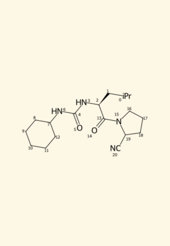 CC(C)C[C@H](NC(=O)NC1CCCCC1)C(=O)N1CCCC1C#N